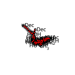 CCCCCCCCCCCCC/C=C/[C@@H](O)[C@H](CO[C@@H]1OC(CO)[C@@H](O[C@@H]2OC(CO)[C@H](O)[C@H](O[C@@H]3OC(CO)[C@@H](O[C@@H]4OC(CO)[C@H](O)[C@H](O[C@H]5OC(CO)[C@H](O)[C@H](O[C@@H]6OC(CO)[C@H](O)[C@H](O[C@]7(C(=O)O)CC(O)[C@@H](NC(C)=O)C([C@H](O)[C@H](O)CO)O7)C6O)C5NC(C)=O)C4O[C@H]4OC(C)[C@@H](O)C(O)[C@@H]4O)[C@H](O)C3NC(C)=O)C2O)[C@H](O)C1O)NC(=O)CCCCCCCCCCCCCCCCCCCCCCCCC